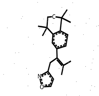 CC(C)=C(Cc1ccon1)c1ccc2c(c1)C(C)(C)CCC2(C)C